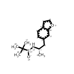 C[C@@H](Cc1ccc2ccoc2c1)N[S+]([O-])C(C)(C)C